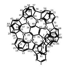 c1ccc(-n2c3ccccc3c3c4ccccc4n(-c4c(-n5c6ccccc6c6ccccc65)c(-n5c6ccccc6c6ccccc65)c(B5c6ccccc6-c6ccccc65)c(-n5c6ccccc6c6ccccc65)c4-n4c5ccccc5c5ccccc54)c32)cc1